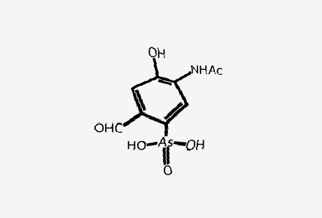 CC(=O)Nc1cc([As](=O)(O)O)c(C=O)cc1O